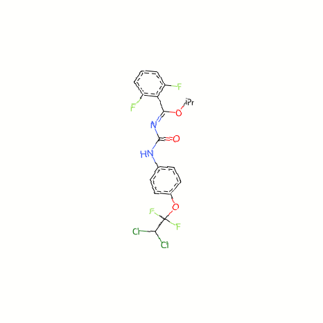 CC(C)OC(=NC(=O)Nc1ccc(OC(F)(F)C(Cl)Cl)cc1)c1c(F)cccc1F